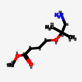 CC(C)(C)OC(=O)CCCOC(C)(C)CN